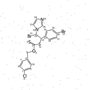 S=C(OCc1ccc(Cl)cc1)SC(c1ccc(Br)cc1)C(Br)n1ccnc1